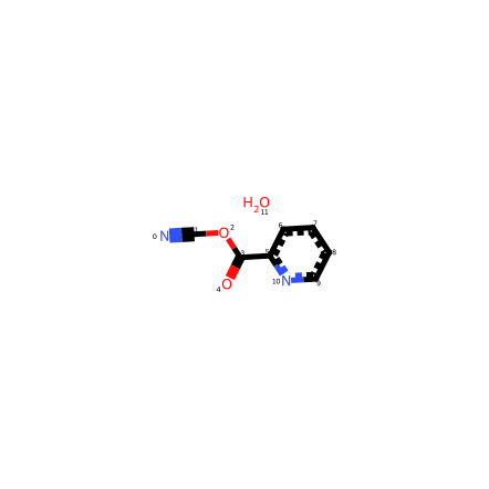 N#COC(=O)c1ccccn1.O